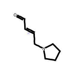 O=[C]/C=C/CN1CCCC1